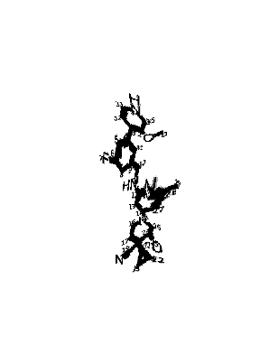 COC1=C(c2cc(F)cc(CNc3cc(N4CCC(C#N)(C5CC5)C(=O)C4)cc(C)n3)c2)C=CNC1